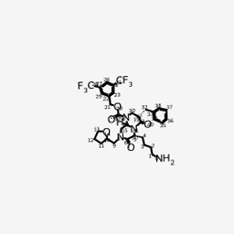 NCCCC[C@H]1C(=O)N(CC2CCCO2)C[C@@H]2N(C(=O)OCc3cc(C(F)(F)F)cc(C(F)(F)F)c3)C[C@H](Cc3ccccc3)C(=O)N21